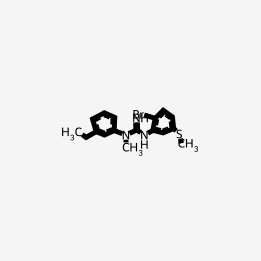 CCc1cccc(N(C)C(=N)Nc2cc(SC)ccc2Br)c1